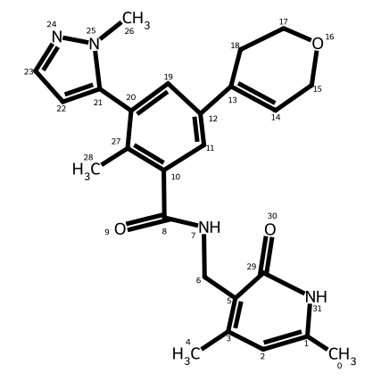 Cc1cc(C)c(CNC(=O)c2cc(C3=CCOCC3)cc(-c3ccnn3C)c2C)c(=O)[nH]1